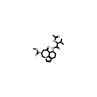 COC(=O)[C@H]1CC(=O)C2c3c(ccn3C1)CC[C@@H]2NC(=O)C(NC(C)=O)C(C)C